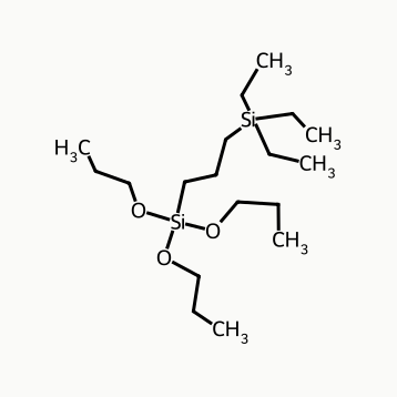 CCCO[Si](CCC[Si](CC)(CC)CC)(OCCC)OCCC